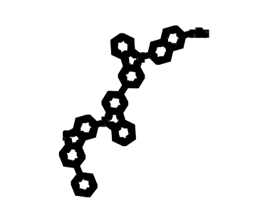 CCCCc1ccc2cc(-n3c4ccccc4c4cc(-c5ccc6c(c5)c5ccccc5n6-c5ccc6sc7ccc(-c8ccccc8)cc7c6c5)ccc43)ccc2c1